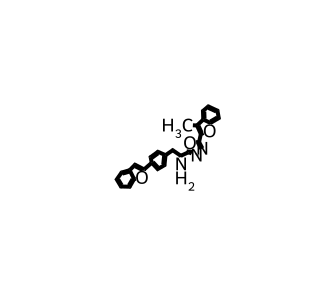 Cc1c(-c2nnc(C(N)Cc3ccc(-c4cc5ccccc5o4)cc3)o2)oc2ccccc12